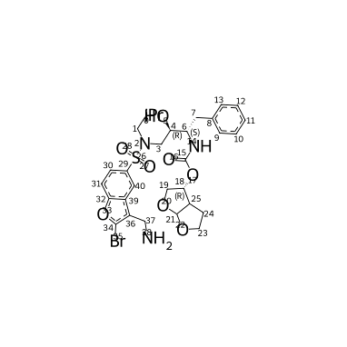 CC(C)CN(C[C@@H](O)[C@H](Cc1ccccc1)NC(=O)O[C@H]1COC2OCCC21)S(=O)(=O)c1ccc2oc(Br)c(CN)c2c1